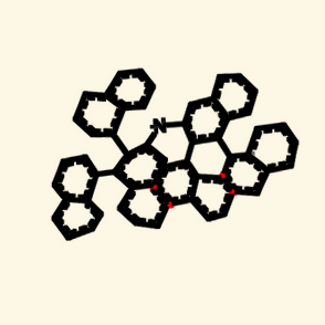 c1ccc2c(-c3c([N]c4cc5ccccc5c(-c5cccc6ccccc56)c4-c4cccc5ccccc45)cc4ccccc4c3-c3cccc4ccccc34)cccc2c1